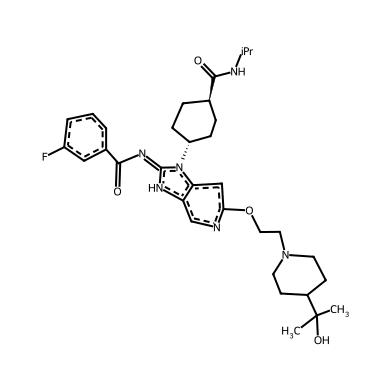 CC(C)NC(=O)[C@H]1CC[C@H](n2/c(=N/C(=O)c3cccc(F)c3)[nH]c3cnc(OCCN4CCC(C(C)(C)O)CC4)cc32)CC1